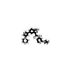 O=C(Nc1ccnc(N2CC(F)(F)C2)c1)c1n[nH]c2ccc(-c3cncc(N4CCOCC4)c3)cc12